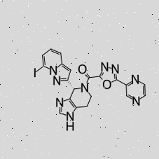 O=C(c1nnc(-c2cnccn2)o1)N1CCc2[nH]cnc2[C@@H]1c1cc2cccc(I)n2n1